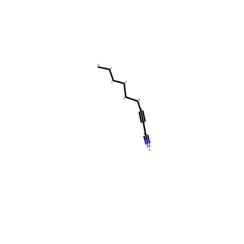 CCCCCCC#CC#N